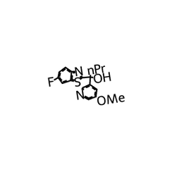 CCCC(O)(c1cncc(OC)c1)c1nc2ccc(F)cc2s1